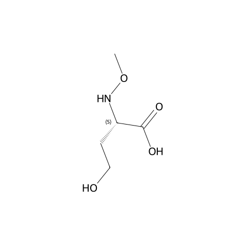 CON[C@@H](CCO)C(=O)O